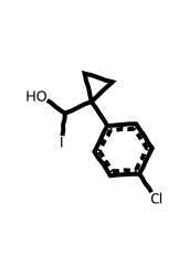 OC(I)C1(c2ccc(Cl)cc2)CC1